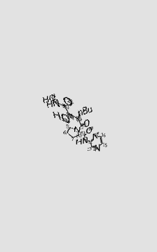 CCCC[C@@H](C(=O)N1CCC[C@H]1C(=O)Nc1cnccn1)[C@H](O)C(=O)NO